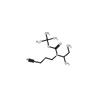 CCC(C)N(CCCC#N)C(=O)OC(C)(C)C